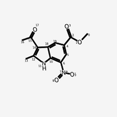 COC(=O)c1cc([N+](=O)[O-])c2[nH]c(C)c(C(C)=O)c2c1